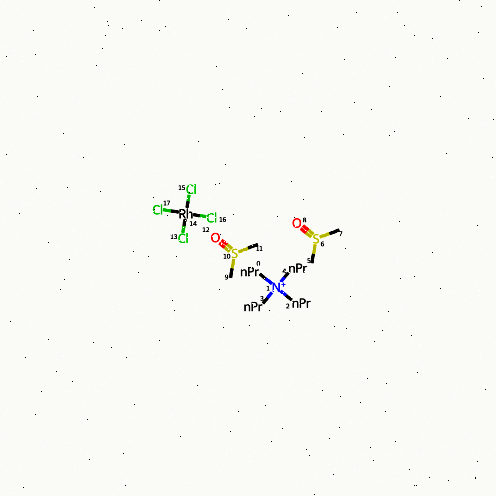 CCC[N+](CCC)(CCC)CCC.CS(C)=O.CS(C)=O.[Cl][Rh]([Cl])([Cl])[Cl]